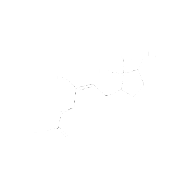 CC(=O)OCC(C)=CCC1CCC(C)C1(C)C